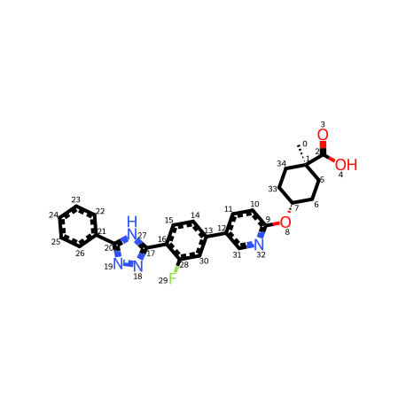 C[C@]1(C(=O)O)CC[C@H](Oc2ccc(-c3ccc(-c4nnc(-c5ccccc5)[nH]4)c(F)c3)cn2)CC1